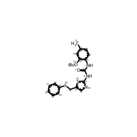 Cc1ccc(NC(=O)Nc2ncc(CSc3ccccc3)s2)c(OCC(C)C)c1